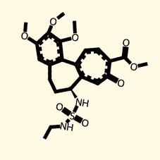 CCNS(=O)(=O)N[C@H]1CCc2cc(OC)c(OC)c(OC)c2-c2ccc(C(=O)OC)c(=O)cc21